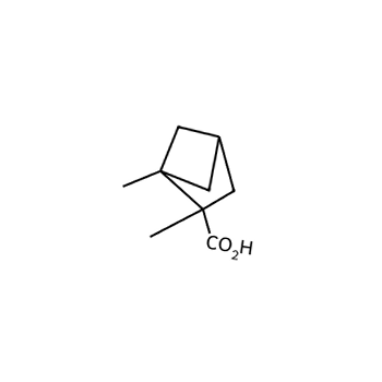 CC12CC(C1)CC2(C)C(=O)O